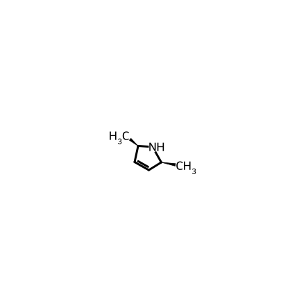 C[C@@H]1C=C[C@H](C)N1